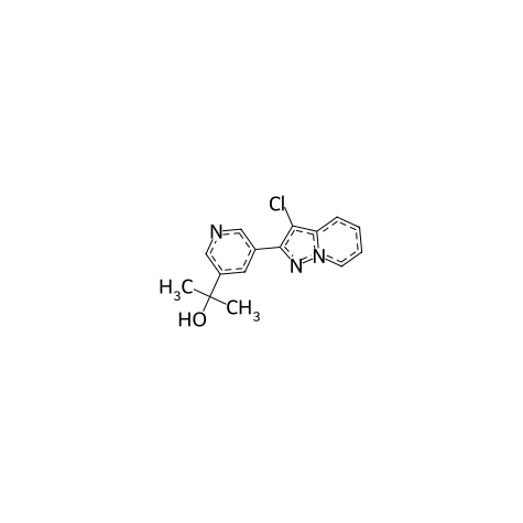 CC(C)(O)c1cncc(-c2nn3ccccc3c2Cl)c1